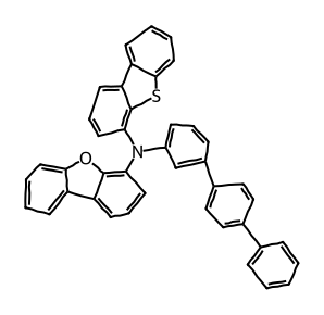 c1ccc(-c2ccc(-c3cccc(N(c4cccc5c4oc4ccccc45)c4cccc5c4sc4ccccc45)c3)cc2)cc1